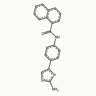 Nc1nc(-c2ccc(NC(=O)c3cccc4ccccc34)cc2)cs1